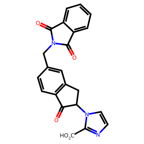 O=C(O)c1nccn1C1Cc2cc(CN3C(=O)c4ccccc4C3=O)ccc2C1=O